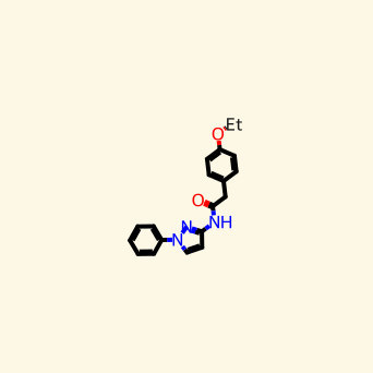 CCOc1ccc(CC(=O)Nc2ccn(-c3ccccc3)n2)cc1